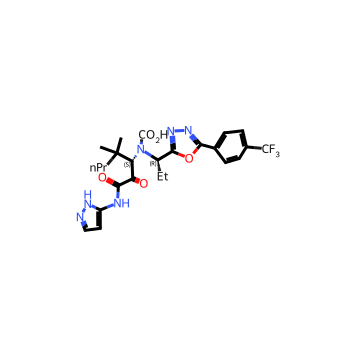 CCCC(C)(C)[C@@H](C(=O)C(=O)Nc1ccn[nH]1)N(C(=O)O)[C@H](CC)c1nnc(-c2ccc(C(F)(F)F)cc2)o1